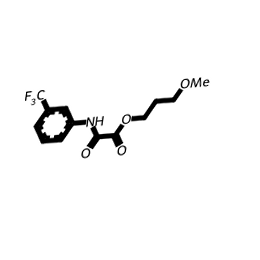 COCCCOC(=O)C(=O)Nc1cccc(C(F)(F)F)c1